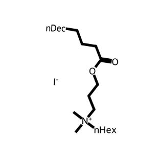 CCCCCCCCCCCCCC(=O)OCCC[N+](C)(C)CCCCCC.[I-]